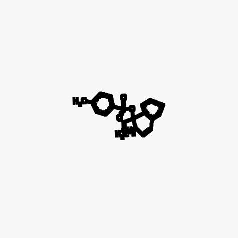 C=CC1(OS(=O)(=O)c2ccc(C)cc2)C(=C)C=Cc2ccccc21